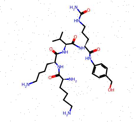 CC(C)[C@H](NC(=O)[C@H](CCCCN)NC(=O)[C@@H](N)CCCCN)C(=O)N[C@@H](CCCNC(N)=O)C(=O)Nc1ccc(CO)cc1